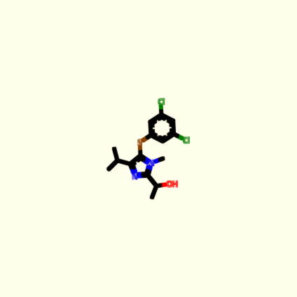 CC(C)c1nc(C(C)O)n(C)c1Sc1cc(Cl)cc(Cl)c1